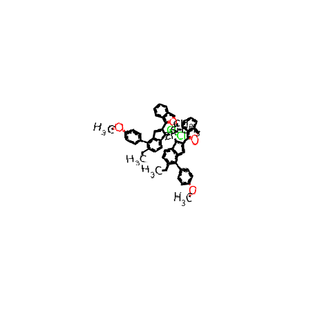 CCc1ccc2c(c1-c1ccc(OC)cc1)C=C(c1occ3ccccc13)[CH]2[Zr]([Cl])([Cl])([CH]1C(c2occ3ccccc23)=Cc2c1ccc(CC)c2-c1ccc(OC)cc1)=[Si](C)C